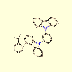 CC1(C)c2ccccc2-c2c1ccc1c2c2ccccc2n1-c1cccc(-n2c3ccccc3c3ccccc32)c1